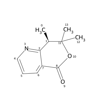 C[C@@H]1c2ncccc2C(=O)OC1(C)C